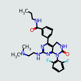 CCCNC(=O)c1cccc(-c2nc(NCCN(C)C)nc3c2CNC(=O)N3c2c(F)cccc2F)c1